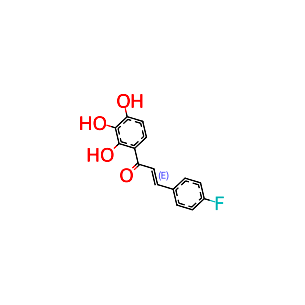 O=C(/C=C/c1ccc(F)cc1)c1ccc(O)c(O)c1O